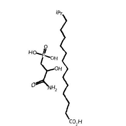 CC(C)CCCCCCCCCCCCC(=O)O.NC(=O)C(O)CP(=O)(O)O